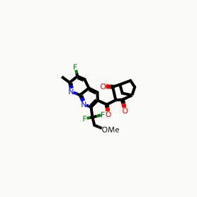 COCC(F)(F)c1nc2nc(C)c(F)cc2cc1C(=O)C1C(=O)C2CCC(C2)C1=O